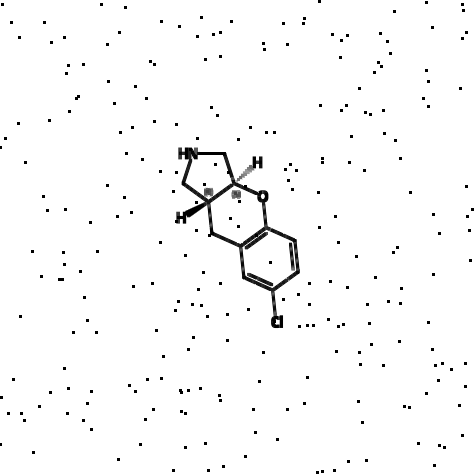 Clc1ccc2c(c1)C[C@@H]1CNC[C@H]1O2